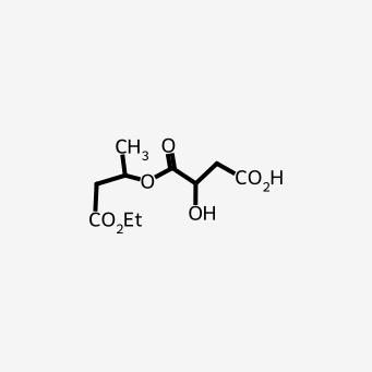 CCOC(=O)CC(C)OC(=O)C(O)CC(=O)O